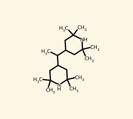 CC(C1CC(C)(C)NC(C)(C)C1)C1CC(C)(C)NC(C)(C)C1